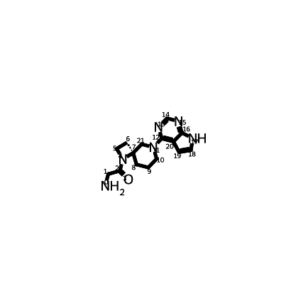 NCC(=O)N1CC[C@]12CCCN(c1ncnc3[nH]ccc13)C2